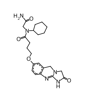 NC(=O)CN(C(=O)CCCOc1ccc2c(c1)CN1CC(=O)NC1=N2)C1CCCCC1